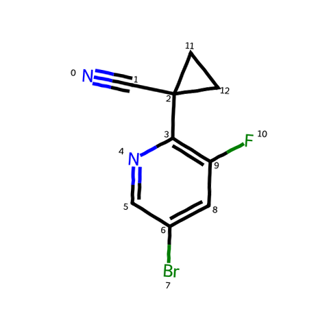 N#CC1(c2ncc(Br)cc2F)CC1